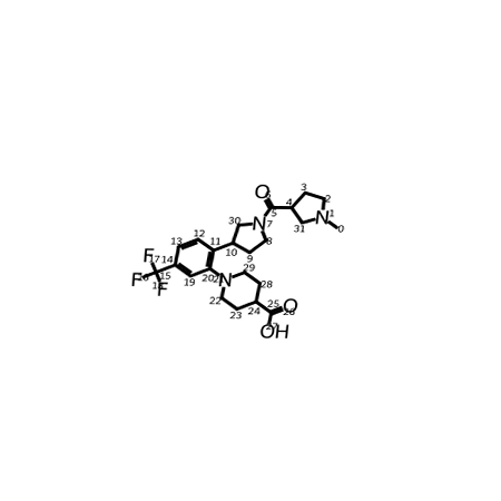 CN1CCC(C(=O)N2CCC(c3ccc(C(F)(F)F)cc3N3CCC(C(=O)O)CC3)C2)C1